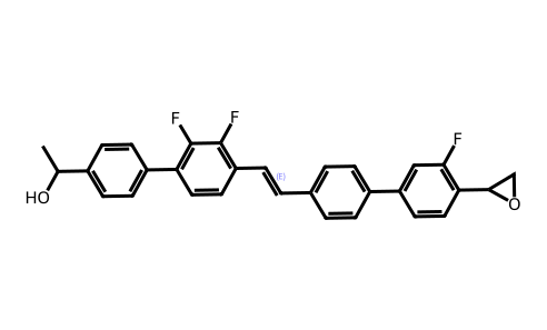 CC(O)c1ccc(-c2ccc(/C=C/c3ccc(-c4ccc(C5CO5)c(F)c4)cc3)c(F)c2F)cc1